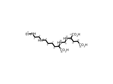 CCNCCNCCCCC(NCNC(CCC(=O)O)C(=O)O)C(=O)O